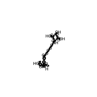 CCNC(=O)c1nnc(C2CC(C(C)C)C(O)CC2O)n1C1CCC(C2CCN(C(=O)CCOCCOCCOCCOCCNC(=O)CN3CCN(CC(=O)O)CCN(CC(=O)O)CCN(CC(=O)O)CC3)CC2)CC1